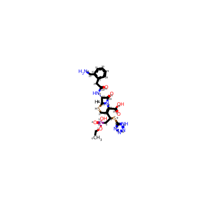 CCOP(=O)(O)CC(Sc1nnn[nH]1)C1=C(C(=O)O)N2C(=O)[C@@H](NC(=O)Cc3ccccc3CN)[C@@H]2SC1